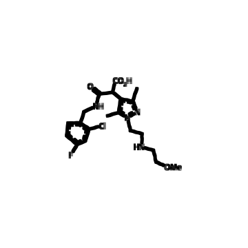 COCCNCCn1nc(C)c(C(C(=O)O)C(=O)NCc2ccc(F)cc2Cl)c1C